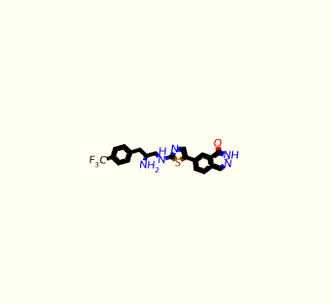 NC(CNc1ncc(-c2ccc3cn[nH]c(=O)c3c2)s1)Cc1ccc(C(F)(F)F)cc1